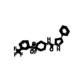 O=C(N[C@H]1CC[C@@](F)(S(=O)(=O)c2cccc(C(F)(F)F)c2)CC1)[C@@H]1C[C@H](c2ccccc2)CN1